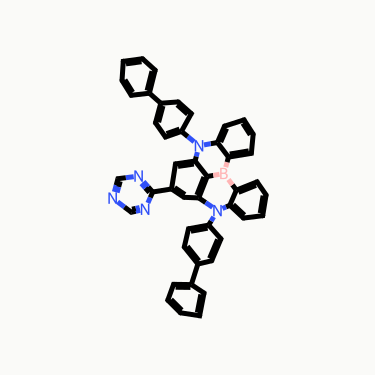 c1ccc(-c2ccc(N3c4ccccc4B4c5ccccc5N(c5ccc(-c6ccccc6)cc5)c5cc(-c6ncncn6)cc3c54)cc2)cc1